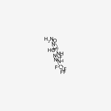 NC(=O)CN1CC[C@H](CCNc2ncnc(N(Cc3ccc(C(F)(F)F)cc3F)C3CC3)c2F)[C@@H](O)C1